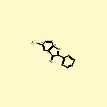 O=C1C(c2ccccc2)=Nc2ccc(C(F)(F)F)cc21